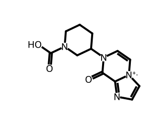 O=C(O)N1CCCC(N2C=C[N+]3C=CN=C3C2=O)C1